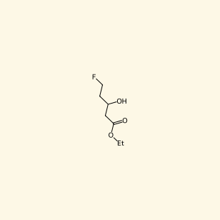 CCOC(=O)CC(O)CCF